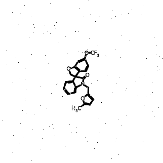 Cc1ccc(CN2C(=O)C3(COc4cc(OC(F)(F)F)ccc43)c3ccccc32)o1